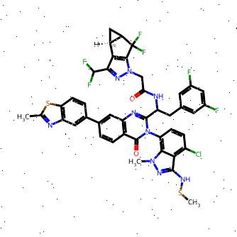 CSNc1nn(C)c2c(-n3c(C(Cc4cc(F)cc(F)c4)NC(=O)Cn4nc(C(F)F)c5c4C(F)(F)C4C[C@H]54)nc4cc(-c5ccc6sc(C)nc6c5)ccc4c3=O)ccc(Cl)c12